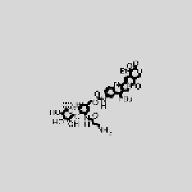 CCCCc1c2c(nc3ccc(NC(=O)OCc4ccc(OC5O[C@H](C(=O)O)[C@@H](O)C(O)[C@H]5O)c(NC(=O)CCN)c4)cc13)-c1cc3c(c(=O)n1C2)COC(=O)[C@]3(O)CC